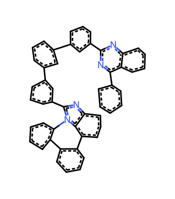 c1ccc(-c2nc(-c3cccc(-c4cccc(-c5cccc(-c6nc7cccc8c7n6-c6ccccc6-c6ccccc6-8)c5)c4)c3)nc3ccccc23)cc1